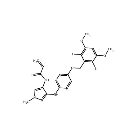 C=CC(=O)Nc1cn(C)nc1Nc1ncc(OCc2c(F)c(OC)cc(OC)c2F)cn1